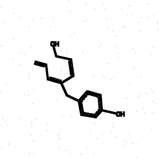 C=C/C=C(\C=C/CO)Cc1ccc(O)cc1